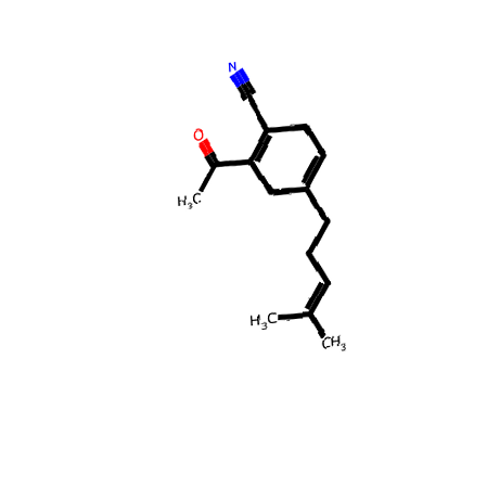 CC(=O)C1=C(C#N)CC=C(CCC=C(C)C)C1